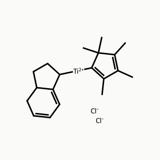 CC1=C(C)C(C)(C)[C]([Ti+2][CH]2CCC3CC=CC=C32)=C1C.[Cl-].[Cl-]